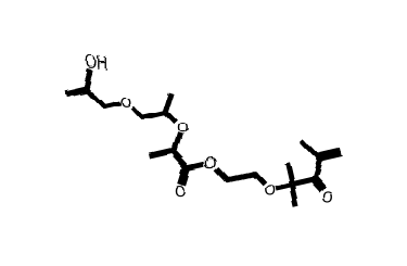 C=C(C)C(=O)C(C)(C)OCCOC(=O)C(C)OC(C)COCC(C)O